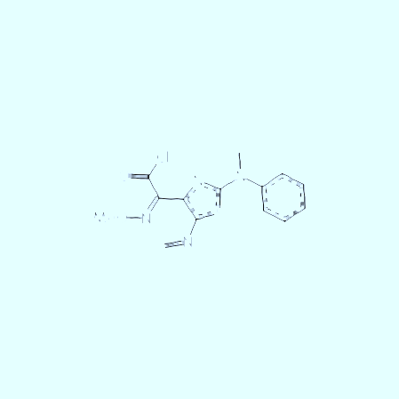 C=Nc1sc(N(C)c2ccccc2)nc1C(=NOC)C(=O)Cl